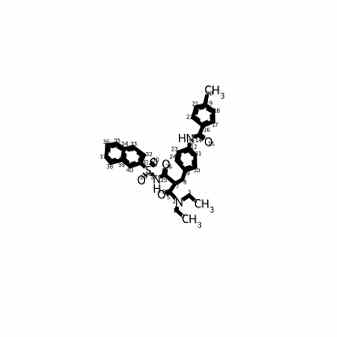 CCN(CC)C(=O)C(Cc1ccc(NC(=O)c2ccc(C)cc2)cc1)C(=O)NS(=O)(=O)c1ccc2ccccc2c1